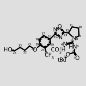 CC(C)(C)OC(=O)NC(=NC(=O)O)N1CCCC1c1nc(-c2ccc(OCCCCO)c(C(F)(F)F)c2)no1